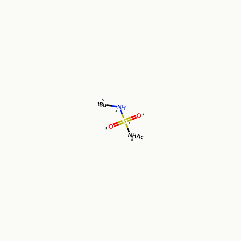 CC(=O)NS(=O)(=O)NC(C)(C)C